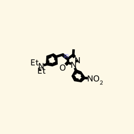 CCN(CC)c1ccc(/C=C2\C(=O)N(c3cccc([N+](=O)[O-])c3)N=C2C)cc1